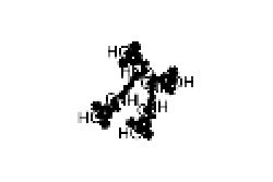 CC(C(=O)NCCCCCCNC(=O)C(C)c1cc(C(C)(C)C)c(O)c(C(C)(C)C)c1)c1cc(C(C)(C)C)c(O)c(C(C)(C)C)c1.CC(C(=O)NCCCNC(=O)C(C)c1cc(C(C)(C)C)c(O)c(C(C)(C)C)c1)c1cc(C(C)(C)C)c(O)c(C(C)(C)C)c1